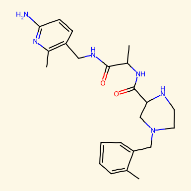 Cc1ccccc1CN1CCNC(C(=O)NC(C)C(=O)NCc2ccc(N)nc2C)C1